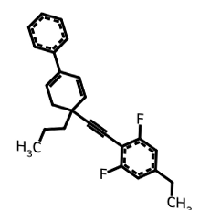 CCCC1(C#Cc2c(F)cc(CC)cc2F)C=CC(c2ccccc2)=CC1